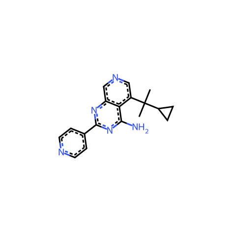 CC(C)(c1cncc2nc(-c3ccncc3)nc(N)c12)C1CC1